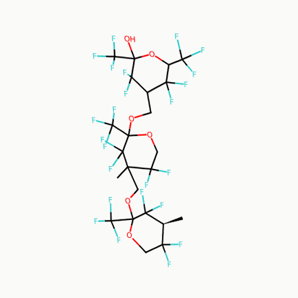 C[C@H]1C(F)(F)COC(OCC2(C)C(F)(F)COC(OCC3C(F)(F)C(C(F)(F)F)OC(O)(C(F)(F)F)C3(F)F)(C(F)(F)F)C2(F)F)(C(F)(F)F)C1(F)F